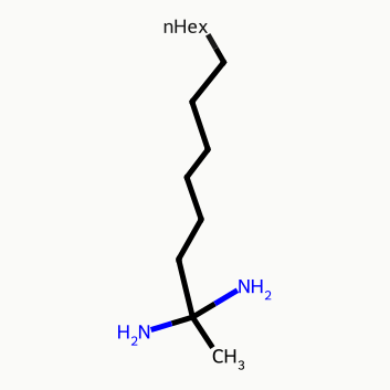 CCCCCCCCCCCCC(C)(N)N